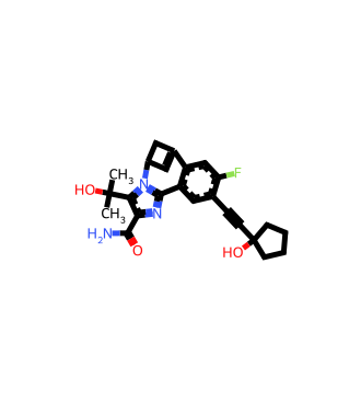 CC(C)(O)c1c(C(N)=O)nc2n1C1C=C(C1)c1cc(F)c(C#CC3(O)CCCC3)cc1-2